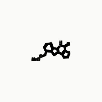 COOCc1cccc2c1Cc1c-2[nH]c(=O)c2sccc12